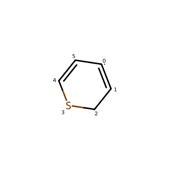 [C]1=CCSC=C1